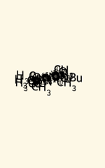 C[C@@H]1CN(c2ccc(B3OC(C)(C)C(C)(C)O3)cn2)C[C@H](C)N1C(=O)OC(C)(C)C